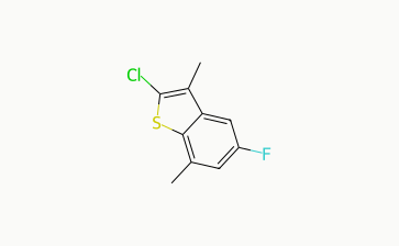 Cc1c(Cl)sc2c(C)cc(F)cc12